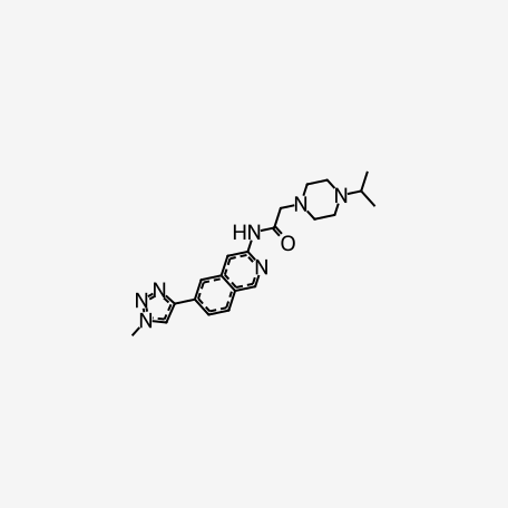 CC(C)N1CCN(CC(=O)Nc2cc3cc(-c4cn(C)nn4)ccc3cn2)CC1